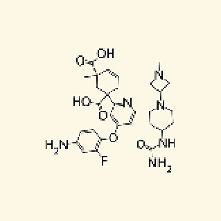 CC1(C(=O)O)C=CCC(C(=O)O)(c2cc(Oc3ccc(N)cc3F)ccn2)C1.CN1CC(N2CCC(NC(N)=O)CC2)C1